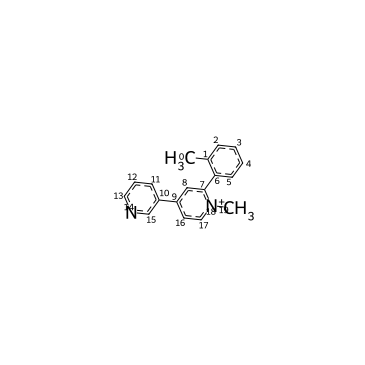 Cc1ccccc1-c1cc(-c2cccnc2)cc[n+]1C